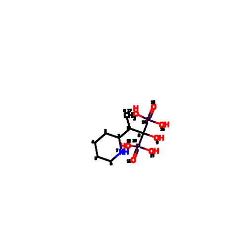 CC(C1CCCCN1)C(O)(P(=O)(O)O)P(=O)(O)O